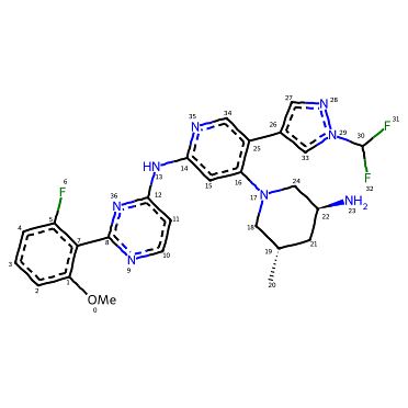 COc1cccc(F)c1-c1nccc(Nc2cc(N3C[C@@H](C)C[C@H](N)C3)c(-c3cnn(C(F)F)c3)cn2)n1